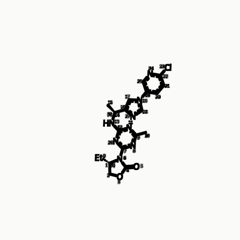 CC[C@H]1COC(=O)N1c1nc(C)nc(N[C@@H](C)c2cn(-c3ccc(Cl)nc3)cn2)n1